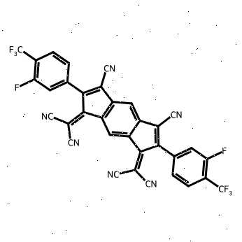 N#CC(C#N)=C1C(c2ccc(C(F)(F)F)c(F)c2)=C(C#N)c2cc3c(cc21)C(=C(C#N)C#N)C(c1ccc(C(F)(F)F)c(F)c1)=C3C#N